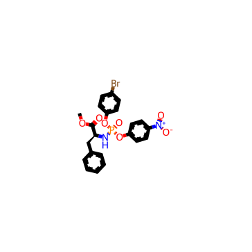 COC(=O)[C@H](Cc1ccccc1)NP(=O)(Oc1ccc(Br)cc1)Oc1ccc([N+](=O)[O-])cc1